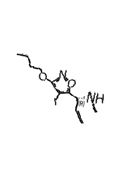 C=C[C@@H](NC)c1onc(OCCCC)c1I